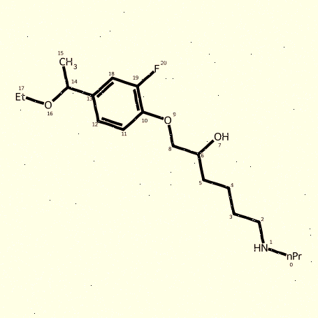 CCCNCCCCC(O)COc1ccc(C(C)OCC)cc1F